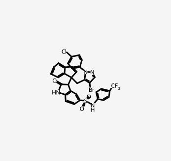 O=C1Nc2ccc(S(=O)(=O)Nc3ccc(C(F)(F)F)cc3)cc2C1C1(Cc2c(Br)cnn2-c2ccc(Cl)cc2)C=Cc2ccccc21